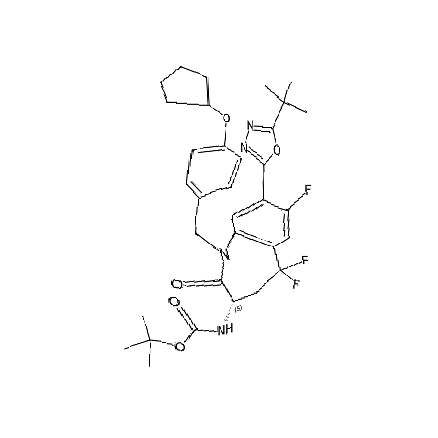 CC(C)(C)OC(=O)N[C@H]1CC(F)(F)c2cc(F)c(-c3nnc(C(C)(C)C)o3)cc2N(Cc2ccc(OC3CCCC3)cc2)C1=O